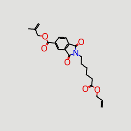 C=CCOC(=O)CCCCCN1C(=O)c2ccc(C(=O)OCC(=C)C)cc2C1=O